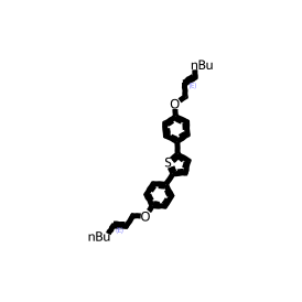 CCCC/C=C/COc1ccc(-c2ccc(-c3ccc(OC/C=C/CCCC)cc3)s2)cc1